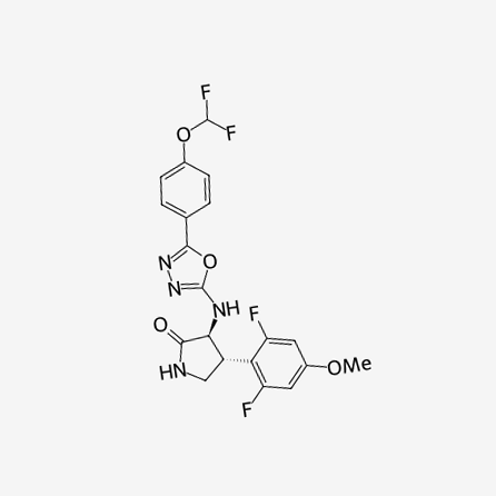 COc1cc(F)c([C@@H]2CNC(=O)[C@H]2Nc2nnc(-c3ccc(OC(F)F)cc3)o2)c(F)c1